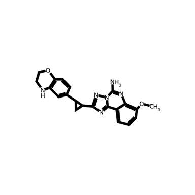 COc1cccc2c1nc(N)n1nc(C3CC3c3ccc4c(c3)NCCO4)nc21